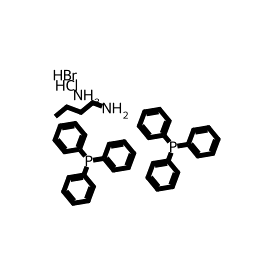 Br.CCCCN.Cl.N.c1ccc(P(c2ccccc2)c2ccccc2)cc1.c1ccc(P(c2ccccc2)c2ccccc2)cc1